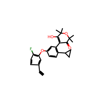 C#Cc1ccc(F)c(Oc2ccc(C3CC3)c(C3=C(O)C(C)(C)OC(C)(C)C3=O)c2)c1